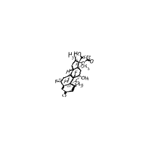 CCC(=O)O[C@]1(C(O)=S)[C@H](C)C[C@H]2[C@@H]3C[C@H](F)C4=CC(=O)C=C[C@]4(C)C3(F)[C@@H](O)C[C@@]21C